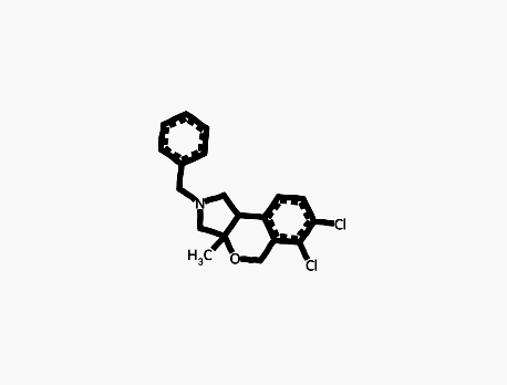 CC12CN(Cc3ccccc3)CC1c1ccc(Cl)c(Cl)c1CO2